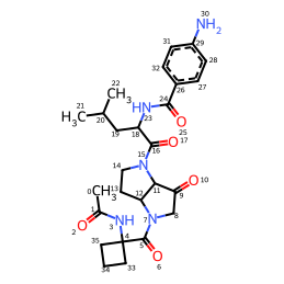 CC(=O)NC1(C(=O)N2CC(=O)C3C2CCN3C(=O)C(CC(C)C)NC(=O)c2ccc(N)cc2)CCC1